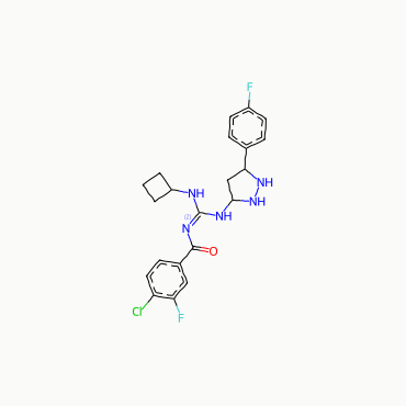 O=C(/N=C(/NC1CCC1)NC1CC(c2ccc(F)cc2)NN1)c1ccc(Cl)c(F)c1